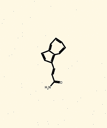 NC(=O)C=Cc1ccc2cccccc1-2